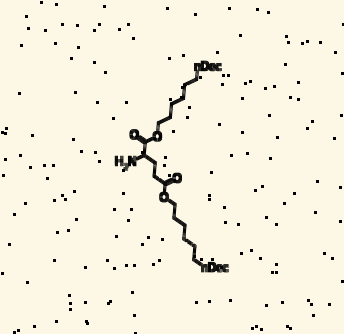 CCCCCCCCCCCCCCCCOC(=O)CCC(N)C(=O)OCCCCCCCCCCCCCCCC